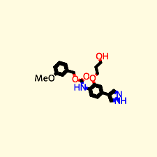 COc1cccc(COC(=O)Nc2ccc(-c3cn[nH]c3)cc2OCCCO)c1